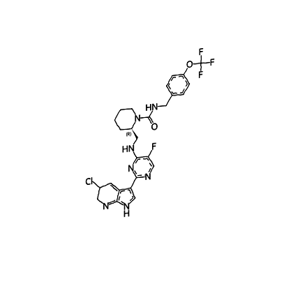 O=C(NCc1ccc(OC(F)(F)F)cc1)N1CCCC[C@@H]1CNc1nc(-c2c[nH]c3c2=CC(Cl)CN=3)ncc1F